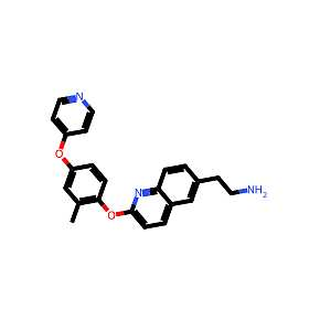 Cc1cc(Oc2ccncc2)ccc1Oc1ccc2cc(CCN)ccc2n1